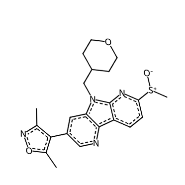 Cc1noc(C)c1-c1cnc2c3ccc([S+](C)[O-])nc3n(CC3CCOCC3)c2c1